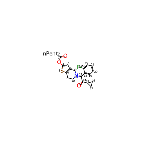 CCCCCC(=O)Oc1cc2c(s1)CCN(C(C(=O)C1CC1)c1ccccc1F)C2